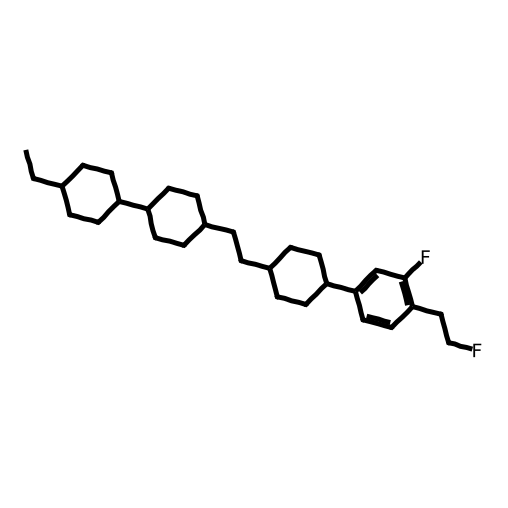 CCC1CCC(C2CCC(CCC3CCC(c4ccc(CCF)c(F)c4)CC3)CC2)CC1